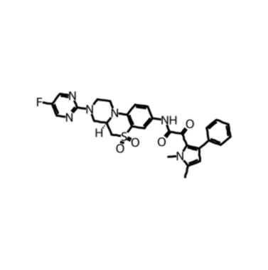 Cc1cc(-c2ccccc2)c(C(=O)C(=O)Nc2ccc3c(c2)S(=O)(=O)C[C@H]2CN(c4ncc(F)cn4)CCN32)n1C